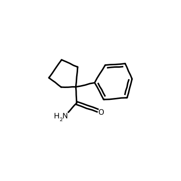 NC(=O)C1(c2ccccc2)CCCC1